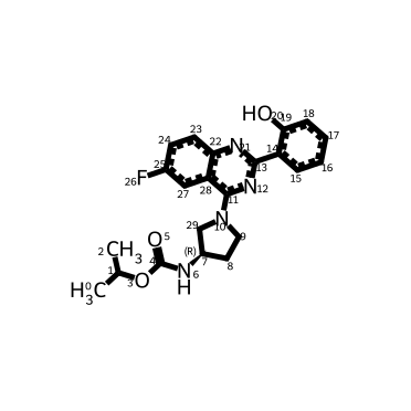 CC(C)OC(=O)N[C@@H]1CCN(c2nc(-c3ccccc3O)nc3ccc(F)cc23)C1